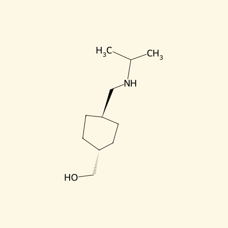 CC(C)NC[C@H]1CC[C@H](CO)CC1